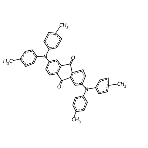 Cc1ccc(N(c2ccc(C)cc2)c2ccc3c(c2)C(=O)c2ccc(N(c4ccc(C)cc4)c4ccc(C)cc4)cc2C3=O)cc1